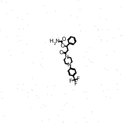 NC(=O)OC(CC(=O)N1CCN(c2ccc(C(F)(F)F)cc2)CC1)c1ccccc1